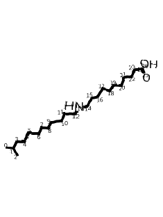 CC(C)CCCCCCCCCCNCCCCCCCCCCC(=O)O